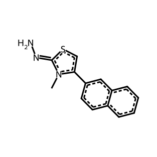 Cn1c(-c2ccc3ccccc3c2)cs/c1=N\N